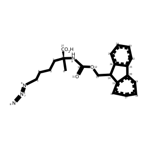 C[C@](CCCCN=[N+]=[N-])(NC(=O)OCC1c2ccccc2-c2ccccc21)C(=O)O